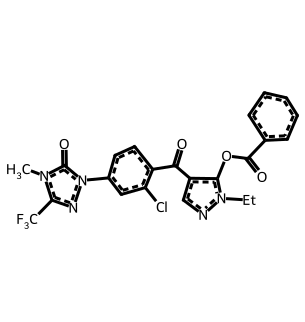 CCn1ncc(C(=O)c2ccc(-n3nc(C(F)(F)F)n(C)c3=O)cc2Cl)c1OC(=O)c1ccccc1